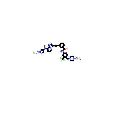 CN1CCN(Cc2ccc(NC(=O)c3cccc(C#Cc4cnc5c(Nc6cnn(C)c6)cccn45)c3)cc2C(F)(F)F)CC1